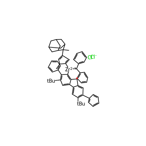 CC1C=C(C2(C)C3CC4CC(C3)CC2C4)C=[C]1[Zr+2](=[C](c1ccccc1)c1ccccc1)[c]1c2c(cc(C(C)(C)C)c1-c1ccccc1)-c1cc(C(C)(C)C)c(-c3ccccc3)cc1C2.[Cl-].[Cl-]